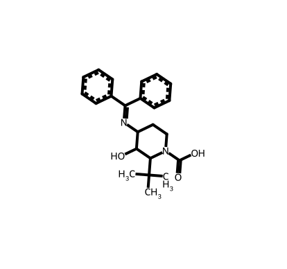 CC(C)(C)C1C(O)C(N=C(c2ccccc2)c2ccccc2)CCN1C(=O)O